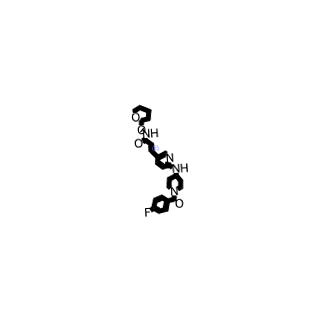 O=C(/C=C/c1ccc(NC2CCN(C(=O)c3ccc(F)cc3)CC2)nc1)NOC1CCCCO1